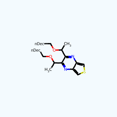 CCCCCCCCCCCOC(C)c1nc2cscc2nc1C(C)OCCCCCCCCCCC